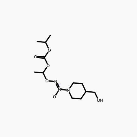 CC(C)OC(=O)OC(C)O/N=[N+](\[O-])N1CCC(CO)CC1